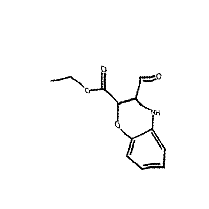 CCOC(=O)C1Oc2ccccc2NC1C=O